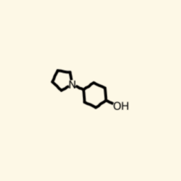 OC1CCC(N2CCCC2)CC1